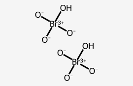 [O-][Br+3]([O-])([O-])O.[O-][Br+3]([O-])([O-])O